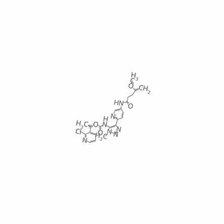 C=C(CCC(=O)Nc1ccc(-c2nnn(C)c2NC(=O)O[C@H](C)c2cccnc2Cl)nc1)OC